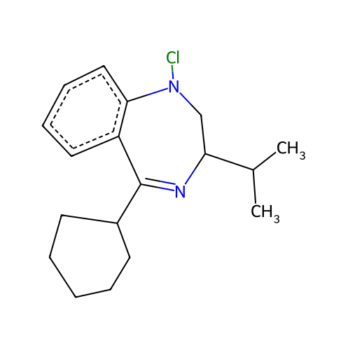 CC(C)C1CN(Cl)c2ccccc2C(C2CCCCC2)=N1